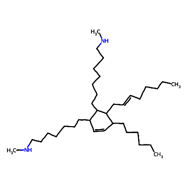 CCCCC/C=C/CC1C(CCCCCC)C=CC(CCCCCCCNC)C1CCCCCCCNC